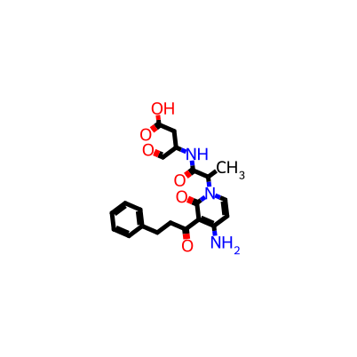 CC(C(=O)NC(C=O)CC(=O)O)n1ccc(N)c(C(=O)CCc2ccccc2)c1=O